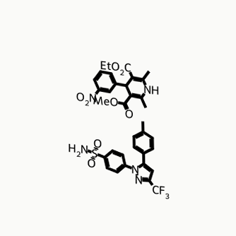 CCOC(=O)C1=C(C)NC(C)=C(C(=O)OC)C1c1cccc([N+](=O)[O-])c1.Cc1ccc(-c2cc(C(F)(F)F)nn2-c2ccc(S(N)(=O)=O)cc2)cc1